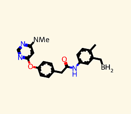 BCc1cc(NC(=O)Cc2ccc(Oc3cc(NC)ncn3)cc2)ccc1C